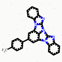 FC(F)(F)c1ccc(-c2cc3c4c(c2)n2c5ccccc5nc2n4c2nc4ccccc4n32)cc1